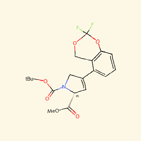 COC(=O)[C@H]1C=C(c2cccc3c2COC(F)(F)O3)CN1C(=O)OC(C)(C)C